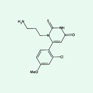 COc1ccc(-c2cc(=O)[nH]c(=S)n2CCCN)c(Cl)c1